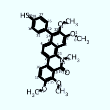 COc1cc2c(ccc3c4ccc(OC)c(OC)c4c(=O)n(C)c23)c(-c2ccc(S)cc2)c1OC